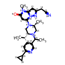 CC[C@@H]1CN(c2cc(=O)n(C)c3cc(CC#N)nn23)[C@@H](C)CN1C(C)c1ccc(C2CC2)nc1